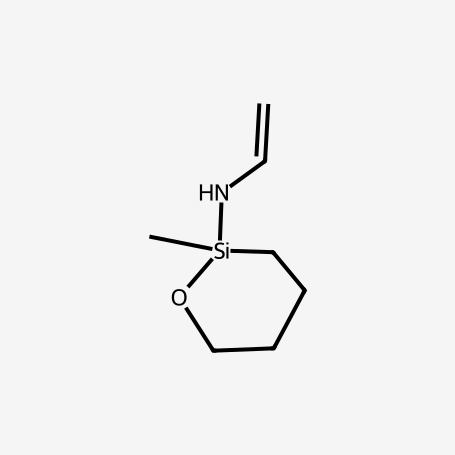 C=CN[Si]1(C)CCCCO1